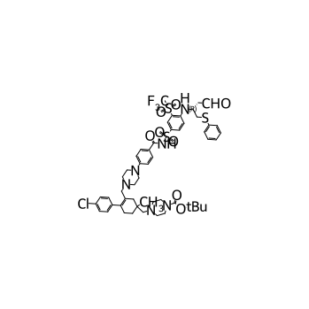 CC1(CN2CCN(C(=O)OC(C)(C)C)CC2)CCC(c2ccc(Cl)cc2)=C(CN2CCN(c3ccc(C(=O)NS(=O)(=O)c4ccc(N[C@H](CC=O)CSc5ccccc5)c(S(=O)(=O)C(F)(F)F)c4)cc3)CC2)C1